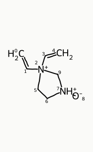 C=C[N+]1(C=C)CC[NH+]([O-])C1